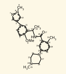 COc1ccc(-c2cnn(C)c2)cc1C(C)NC(=O)c1cc(N2CCN(C)CC2)ccc1C